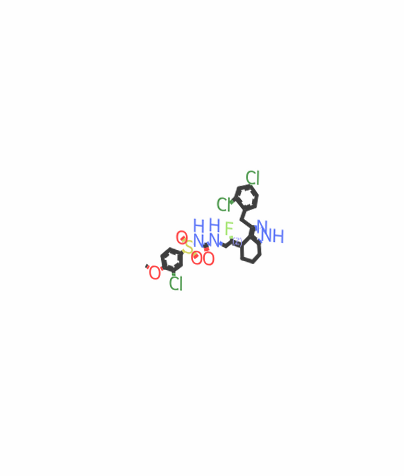 COc1ccc(S(=O)(=O)NC(=O)NC/C(F)=C2\CCCc3[nH]nc(Cc4ccc(Cl)cc4Cl)c32)cc1Cl